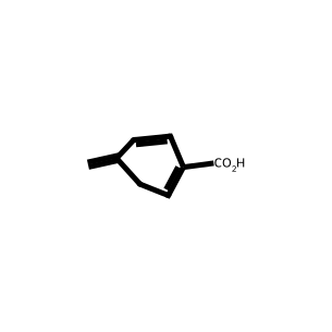 C=C1C=CC(C(=O)O)=CC1